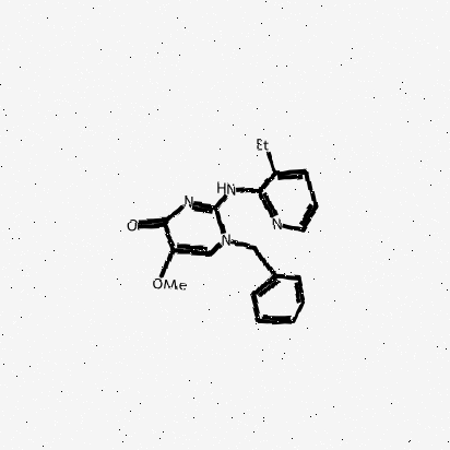 CCc1cccnc1Nc1nc(=O)c(OC)cn1Cc1ccccc1